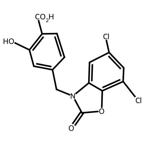 O=C(O)c1ccc(Cn2c(=O)oc3c(Cl)cc(Cl)cc32)cc1O